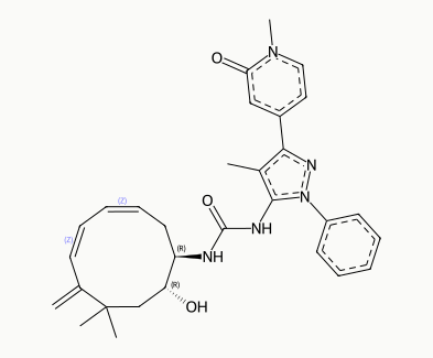 C=C1/C=C\C=C/C[C@@H](NC(=O)Nc2c(C)c(-c3ccn(C)c(=O)c3)nn2-c2ccccc2)[C@H](O)CC1(C)C